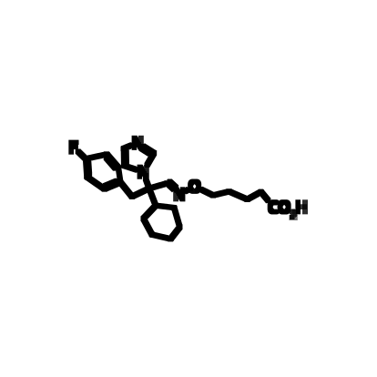 O=C(O)CCCCON=CC(Cc1ccc(F)cc1)(C1CCCCC1)n1ccnc1